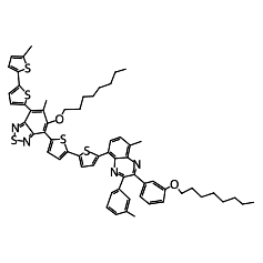 CCCCCCCCOc1cccc(-c2nc3c(C)ccc(-c4ccc(-c5ccc(-c6c(OCCCCCCCC)c(C)c(-c7ccc(-c8ccc(C)s8)s7)c7nsnc67)s5)s4)c3nc2-c2cccc(C)c2)c1